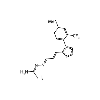 CNC1C=C(C(F)(F)F)C(n2cccc2/C=C/C=N/N=C(N)N)=CC1